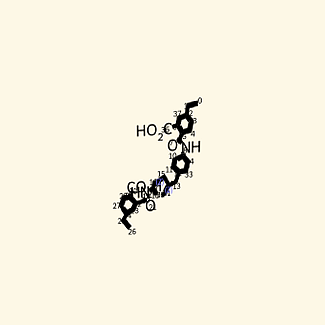 C=Cc1ccc(C(=O)Nc2ccc(CC(/C=C\C(=C)NC(=O)c3cc(C=C)ccc3C(=O)O)=C/C)cc2)c(C(=O)O)c1